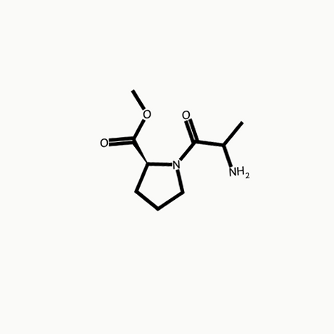 COC(=O)[C@@H]1CCCN1C(=O)C(C)N